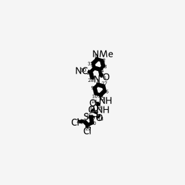 CNc1ccc2c(=O)n(-c3ccc(NC(=O)NS(=O)(=O)c4cc(Cl)c(Cl)s4)cc3)cc(C#N)c2c1